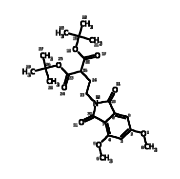 COc1cc(OC)c2c(c1)C(=O)N(CCC(C(=O)OC(C)(C)C)C(=O)OC(C)(C)C)C2=O